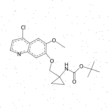 COc1cc2c(Cl)ccnc2cc1OCC1(NC(=O)OC(C)(C)C)CC1